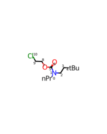 CCCN(CCC(C)(C)C)C(=O)OCCCl